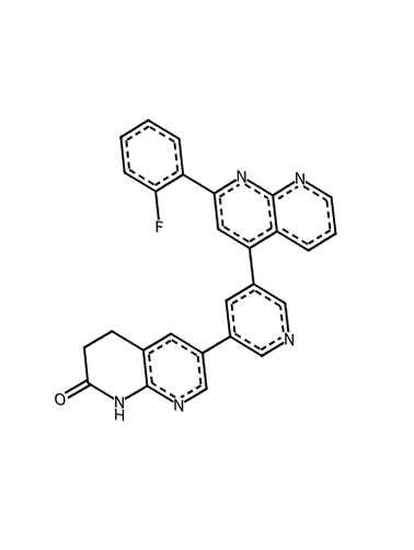 O=C1CCc2cc(-c3cncc(-c4cc(-c5ccccc5F)nc5ncccc45)c3)cnc2N1